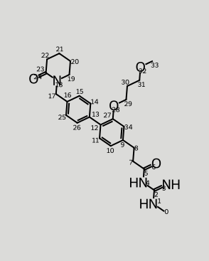 CNC(=N)NC(=O)CCc1ccc(-c2ccc(CN3CCCCC3=O)cc2)c(OCCCOC)c1